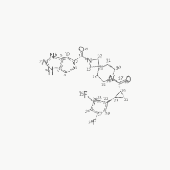 O=C(c1ccc2[nH]nnc2c1)N1CC2(CCN(C(=O)[C@@H]3C[C@H]3c3cc(F)cc(F)c3)CC2)C1